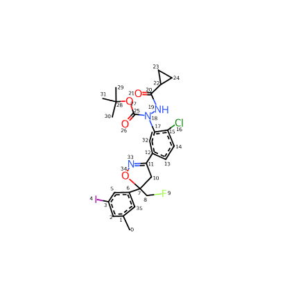 Cc1cc(I)cc(C2(CF)CC(c3ccc(Cl)c(N(NC(=O)C4CC4)C(=O)OC(C)(C)C)c3)=NO2)c1